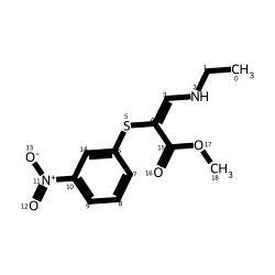 CCNC=C(Sc1cccc([N+](=O)[O-])c1)C(=O)OC